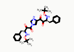 CC(C)(C)ON[C@@H](Cc1ccccc1)C(=O)C(=O)C1=CN(C(=O)C(=O)[C@H](Cc2ccccc2)NOC(C)(C)C)CN1